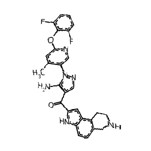 Cc1cc(Oc2c(F)cccc2F)ncc1-n1ncc(C(=O)c2cc3c4c(ccc3[nH]2)CNCC4)c1N